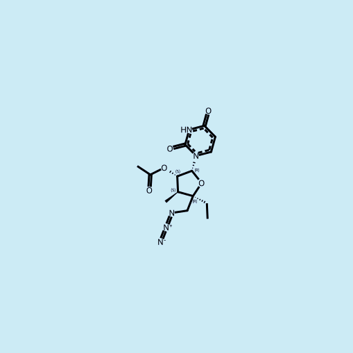 CC[C@@]1(CN=[N+]=[N-])O[C@@H](n2ccc(=O)[nH]c2=O)[C@@H](OC(C)=O)[C@@H]1C